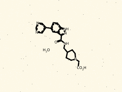 O.O=C(O)CN1CCC(CNC(=O)c2n[nH]c3ccc(-c4cncnc4)cc23)CC1